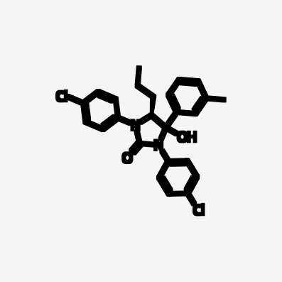 CCC[C@@H]1N(c2ccc(Cl)cc2)C(=O)N(c2ccc(Cl)cc2)C1(O)c1cccc(C)c1